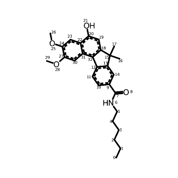 CCCCCCNC(=O)c1ccc2c(c1)C(C)(C)c1cc(O)c3cc(OC)c(OC)cc3c1-2